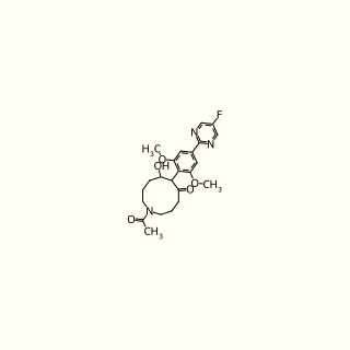 COc1cc(-c2ncc(F)cn2)cc(OC)c1C1C(=O)CCCN(C(C)=O)CCCC1O